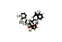 N#C[C@H](C[C@@H]1CCCNC1=O)NC(=O)[C@H]1[C@@H]2CC[C@@H](CC2(F)F)N1C(=O)[C@@H](CC1CC1)Nc1cccc(Cl)c1